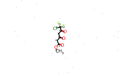 COC(=O)CC(=O)CC(=O)C(F)(F)Cl